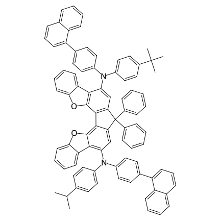 CC(C)c1ccc(N(c2ccc(-c3cccc4ccccc34)cc2)c2cc3c(c4oc5ccccc5c24)-c2c(cc(N(c4ccc(-c5cccc6ccccc56)cc4)c4ccc(C(C)(C)C)cc4)c4c2oc2ccccc24)C3(c2ccccc2)c2ccccc2)cc1